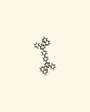 c1ccc(-c2nc(-c3ccc(-c4ccc(-c5cc(-c6cccc7cccnc67)nc(-c6ccccc6)n5)cc4)cc3)cc(-c3cccc4cccnc34)n2)cc1